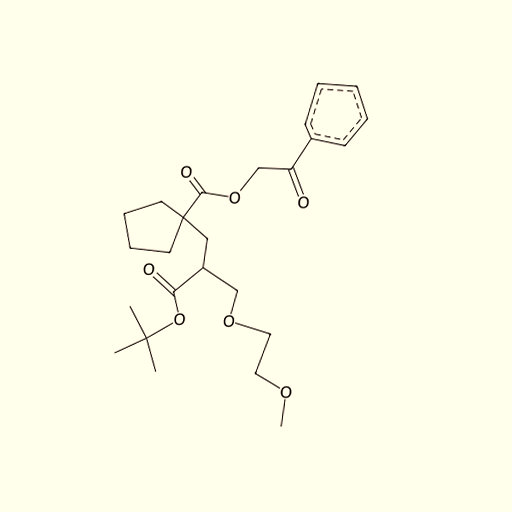 COCCOCC(CC1(C(=O)OCC(=O)c2ccccc2)CCCC1)C(=O)OC(C)(C)C